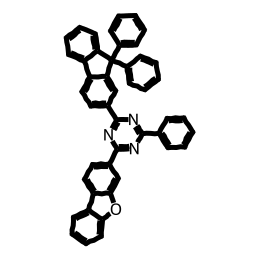 c1ccc(-c2nc(-c3ccc4c(c3)C(c3ccccc3)(c3ccccc3)c3ccccc3-4)nc(-c3ccc4c(c3)oc3ccccc34)n2)cc1